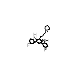 Fc1ccc2[nH]c3c(CCCCN4CCCCC4)c4[nH]c5ccc(F)cc5c4cc3c2c1